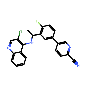 CC(Nc1c(Cl)cnc2ccccc12)c1cc(-c2ccc(C#N)nc2)ccc1F